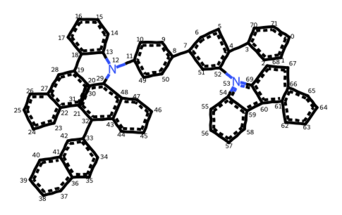 c1ccc(-c2ccc(-c3ccc(N(c4ccccc4-c4ccc5ccccc5c4)c4ccc(-c5ccc6ccccc6c5)c5ccccc45)cc3)cc2-n2c3ccccc3c3c4ccccc4ccc32)cc1